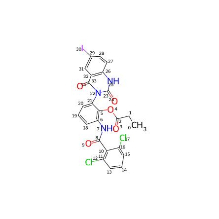 CCC(=O)Oc1c(NC(=O)c2c(Cl)cccc2Cl)cccc1-n1c(=O)[nH]c2ccc(I)cc2c1=O